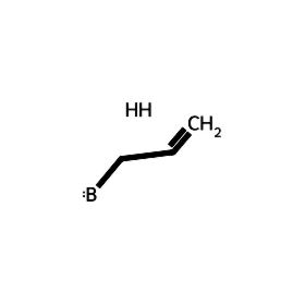 [B]CC=C.[HH]